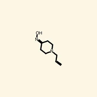 C=CCN1CCC(=NO)CC1